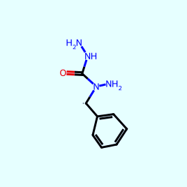 NNC(=O)N(N)[CH]c1ccccc1